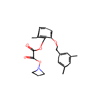 Cc1cc(C)cc(COc2cccc(C)c2OC(=O)C(=O)ON2CCC2)c1